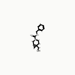 O=C(OCc1ccccc1)N1CCC2(CO)CC2C1